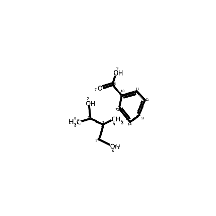 CC(O)C(C)CO.O=C(O)c1ccccc1